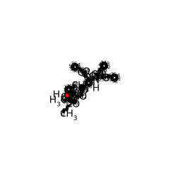 CCCCC[C@@H](C(=O)NCNC(=O)c1ccc(-c2ccc(C(=O)N[C@@H](CC(=O)OCc3ccccc3)C(=O)OCc3ccccc3)c(OCC(=O)OCc3ccccc3)c2)o1)[C@@H](CC)N(C=O)OC(=O)c1c(C)cccc1OC